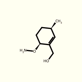 C[C@H]1C=C(CO)[C@@H](ON)CC1